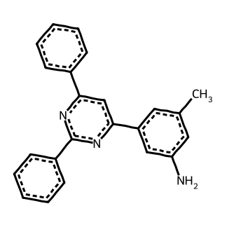 Cc1cc(N)cc(-c2cc(-c3ccccc3)nc(-c3ccccc3)n2)c1